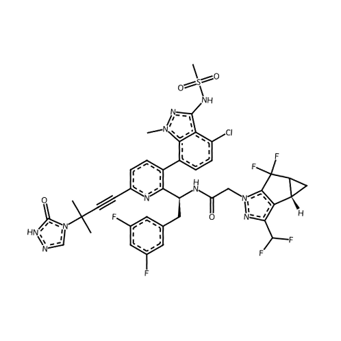 Cn1nc(NS(C)(=O)=O)c2c(Cl)ccc(-c3ccc(C#CC(C)(C)n4cn[nH]c4=O)nc3[C@H](Cc3cc(F)cc(F)c3)NC(=O)Cn3nc(C(F)F)c4c3C(F)(F)C3C[C@H]43)c21